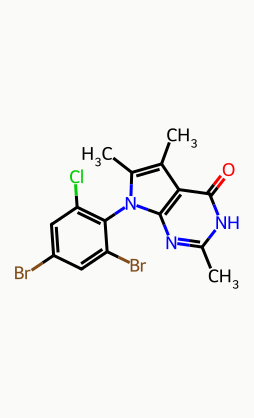 Cc1nc2c(c(C)c(C)n2-c2c(Cl)cc(Br)cc2Br)c(=O)[nH]1